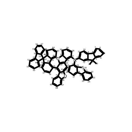 CC1(C)c2ccccc2-c2ccc(N(c3cccc4c3sc3ccccc34)c3cccc4oc5c(-c6cccc7c6-c6ccccc6C76c7ccccc7-c7ccccc76)c6c(cc5c34)oc3ccccc36)cc21